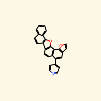 c1ccc2c(c1)ccc1c3ccc4c(-c5ccncc5)cc5ccoc5c4c3oc21